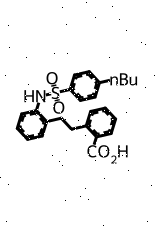 CCCCc1ccc(S(=O)(=O)Nc2ccccc2CCc2ccccc2C(=O)O)cc1